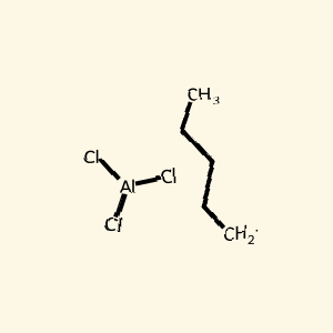 [CH2]CCCC.[Cl][Al]([Cl])[Cl]